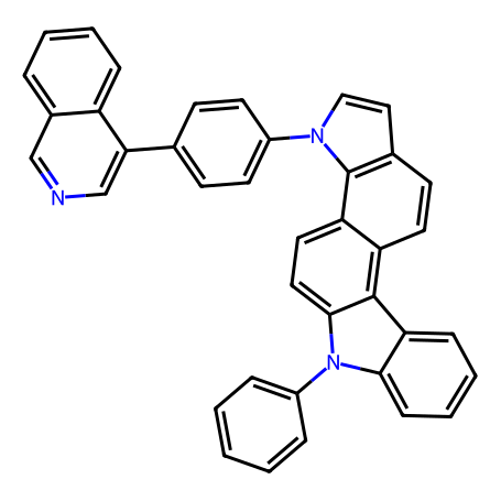 c1ccc(-n2c3ccccc3c3c4ccc5ccn(-c6ccc(-c7cncc8ccccc78)cc6)c5c4ccc32)cc1